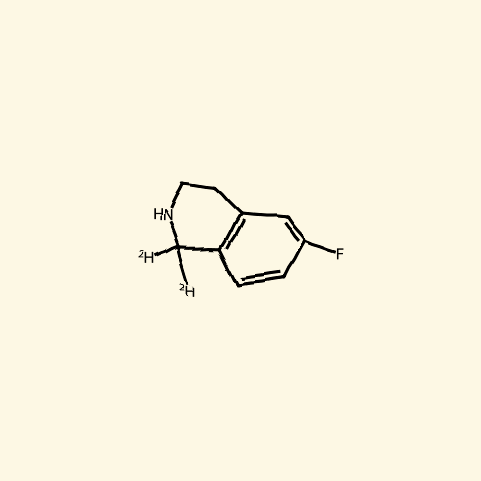 [2H]C1([2H])NCCc2cc(F)ccc21